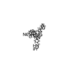 CC(C)CNCc1ccc2c(c1)nc(NC(=O)c1ccc(-c3cnco3)s1)n2CC1CCCN1C(=O)C(C#N)=CC(C)(C)C